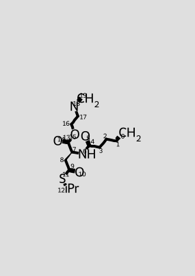 C=CCCC(=O)N[C@@H](CC(=O)SC(C)C)C(=O)OCCN=C